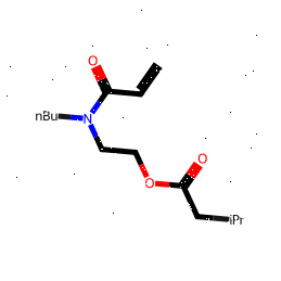 C=CC(=O)N(CCCC)CCOC(=O)CC(C)C